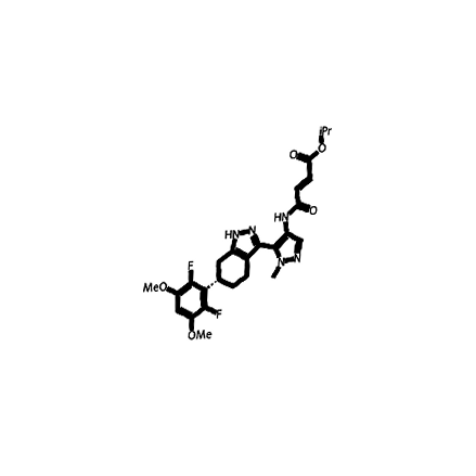 COc1cc(OC)c(F)c([C@H]2CCc3c(-c4c(NC(=O)/C=C/C(=O)OC(C)C)cnn4C)n[nH]c3C2)c1F